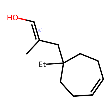 CCC1(C/C(C)=C/O)CCC=CCC1